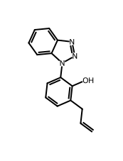 C=CCc1cccc(-n2nnc3ccccc32)c1O